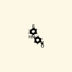 O=Nc1ccc(Nc2ccc(F)cc2)cc1